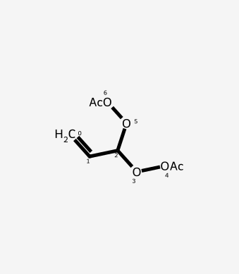 C=CC(OOC(C)=O)OOC(C)=O